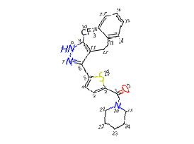 O=C(c1ccc(-c2n[nH]c(C(F)(F)F)c2Cc2ccccc2)s1)N1CCCCC1